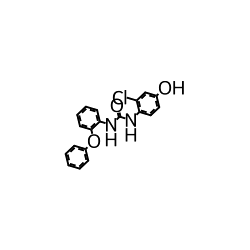 O=C(Nc1ccc(O)cc1Cl)Nc1ccccc1Oc1ccccc1